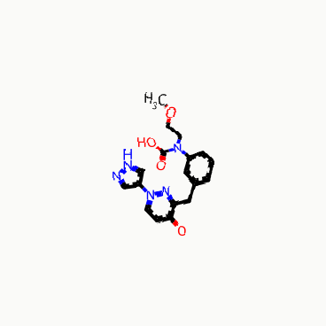 COCCN(C(=O)O)c1cccc(Cc2nn(-c3cn[nH]c3)ccc2=O)c1